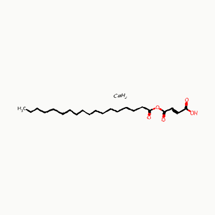 CCCCCCCCCCCCCCCCCC(=O)OC(=O)/C=C/C(=O)O.[CaH2]